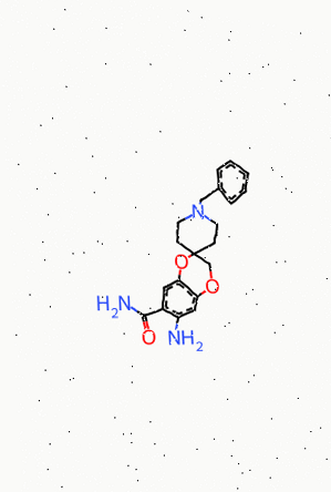 NC(=O)c1cc2c(cc1N)OCC1(CCN(Cc3ccccc3)CC1)O2